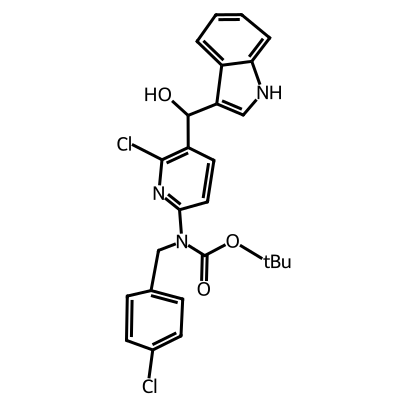 CC(C)(C)OC(=O)N(Cc1ccc(Cl)cc1)c1ccc(C(O)c2c[nH]c3ccccc23)c(Cl)n1